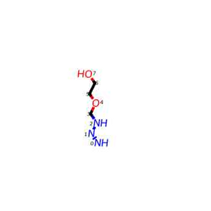 N=NNCOCCO